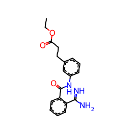 CCOC(=O)CCc1cccc(NC(=O)c2ccccc2C(=N)N)c1